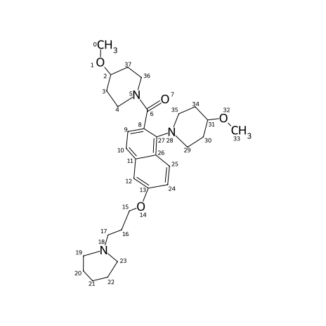 COC1CCN(C(=O)c2ccc3cc(OCCCN4CCCCC4)ccc3c2N2CCC(OC)CC2)CC1